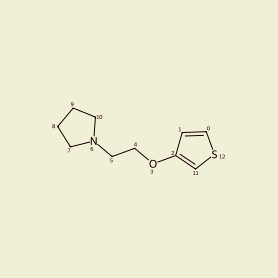 c1cc(OCCN2CCCC2)cs1